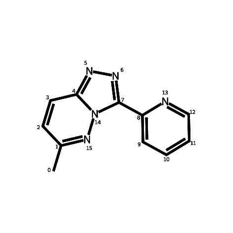 Cc1ccc2nnc(-c3ccccn3)n2n1